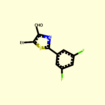 CCc1sc(-c2cc(F)cc(F)c2)nc1C=O